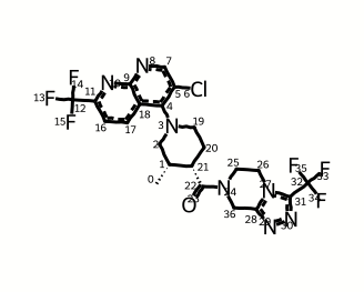 C[C@@H]1CN(c2c(Cl)cnc3nc(C(F)(F)F)ccc23)CC[C@@H]1C(=O)N1CCn2c(nnc2C(F)(F)F)C1